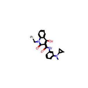 CC(C)Cn1c(=O)c(C(=O)Nc2cccc(N(C)C3CC3)c2)c(O)c2ccccc21